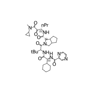 CCC[C@H](NC(=O)[C@@H]1C2CCCC2CN1C(=O)C(NC(=O)[C@@H](NC(=O)c1cnccn1)C1CCCCC1)C(C)(C)C)C(=O)C(=O)N(C)C1CC1